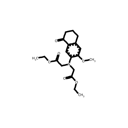 CCOC(=O)CN(CC(=O)OCC)c1cc2c(cc1OC)CCCC2=O